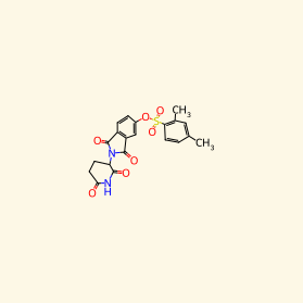 Cc1ccc(S(=O)(=O)Oc2ccc3c(c2)C(=O)N(C2CCC(=O)NC2=O)C3=O)c(C)c1